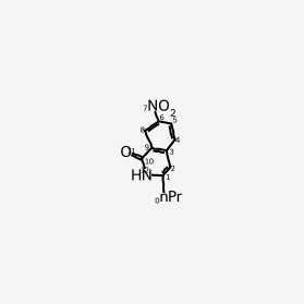 CCCc1cc2ccc([N+](=O)[O-])cc2c(=O)[nH]1